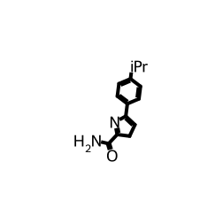 CC(C)c1ccc(C2=CCC(C(N)=O)=N2)cc1